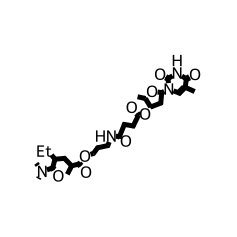 CCC(CC(C)C(=O)OCCCNC(=O)CCC(=O)OC1CC(n2cc(C)c(=O)[nH]c2=O)OC1C)C(=O)N(C)C